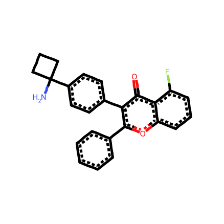 NC1(c2ccc(-c3c(-c4ccccc4)oc4cccc(F)c4c3=O)cc2)CCC1